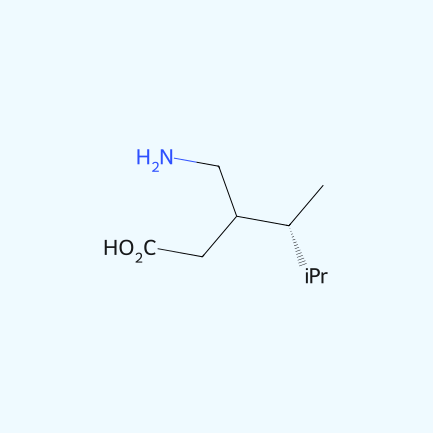 CC(C)[C@@H](C)C(CN)CC(=O)O